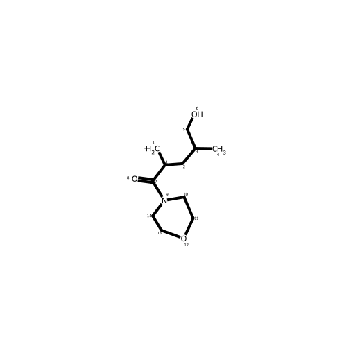 [CH2]C(CC(C)CO)C(=O)N1CCOCC1